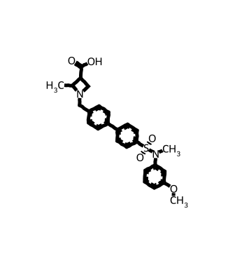 COc1cccc(N(C)S(=O)(=O)c2ccc(-c3ccc(CN4CC(C(=O)O)C4C)cc3)cc2)c1